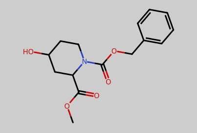 COC(=O)C1CC(O)CCN1C(=O)OCc1ccccc1